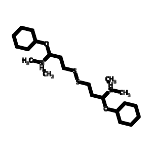 C[SiH](C)C(CCSSCCC(OC1CCCCC1)[SiH](C)C)OC1CCCCC1